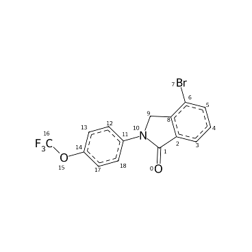 O=C1c2cccc(Br)c2CN1c1ccc(OC(F)(F)F)cc1